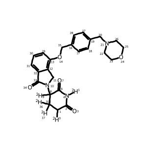 [2H]C1C(=O)N([2H])C(=O)C([2H])(N2Cc3c(OCc4ccc(CN5CCOCC5)cc4)cccc3C2=O)C1([2H])[2H]